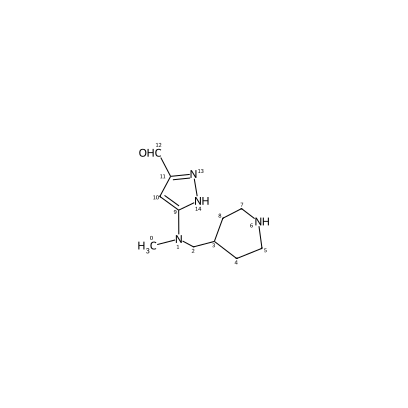 CN(CC1CCNCC1)c1cc(C=O)n[nH]1